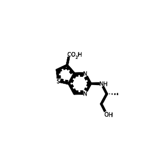 C[C@H](CO)Nc1ncc2scc(C(=O)O)c2n1